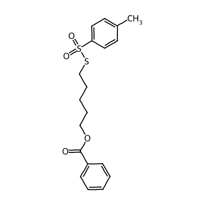 Cc1ccc(S(=O)(=O)SCCCCCOC(=O)c2ccccc2)cc1